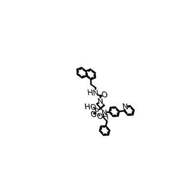 O=C(NCCc1cccc2ccccc12)N1CC(N(CCc2ccccc2)c2ccc(-c3ccccn3)cc2)(P(=O)(O)O)C1